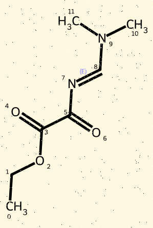 CCOC(=O)C(=O)/N=C/N(C)C